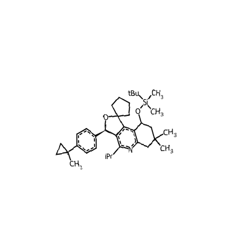 CC(C)c1nc2c(c3c1[C@@H](c1ccc(C4(C)CC4)cc1)OC31CCCC1)C(O[Si](C)(C)C(C)(C)C)CC(C)(C)C2